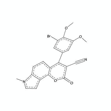 COc1cc(-c2c(C#N)c(=O)oc3c2ccc2c3ccn2C)cc(Br)c1OC